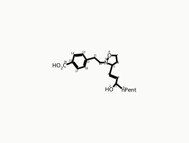 CCCCCC(O)C=CC1CCON1CCc1ccc(C(=O)O)cc1